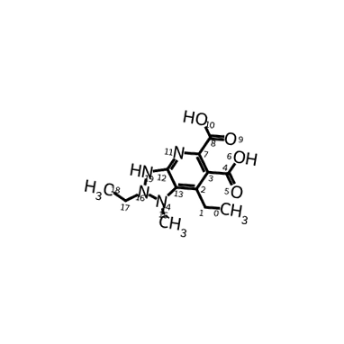 CCc1c(C(=O)O)c(C(=O)O)nc2c1N(C)N(CC)N2